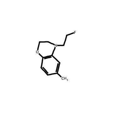 Cc1ccc2c(c1)N(CCF)CCO2